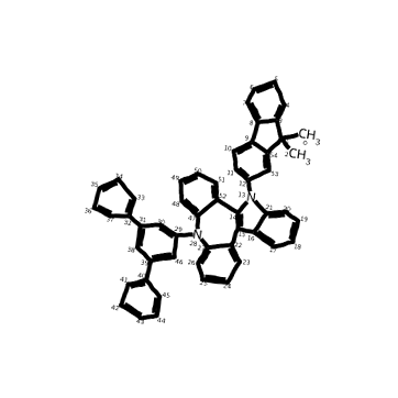 CC1(C)c2ccccc2-c2ccc(-n3c4c(c5ccccc53)-c3ccccc3N(c3cc(-c5ccccc5)cc(-c5ccccc5)c3)c3ccccc3-4)cc21